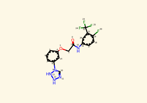 O=C(COc1cccc(N2C=NNN2)c1)Nc1ccc(F)c(C(F)(F)F)c1